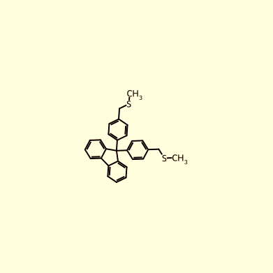 CSCc1ccc(C2(c3ccc(CSC)cc3)c3ccccc3-c3ccccc32)cc1